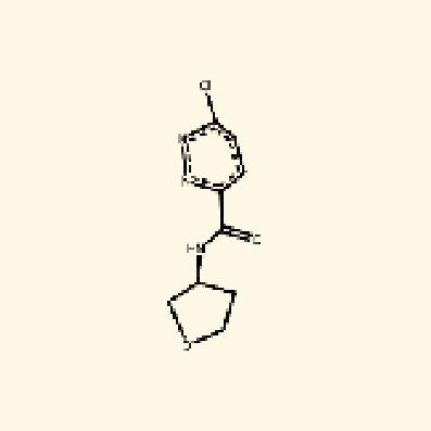 O=C(N[C@H]1CCOC1)c1ccc(Cl)nn1